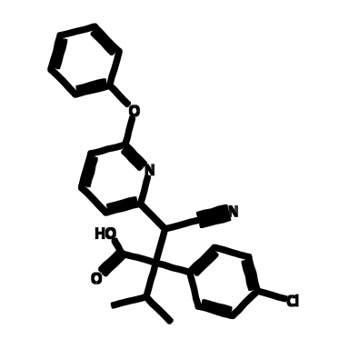 CC(C)C(C(=O)O)(c1ccc(Cl)cc1)C(C#N)c1cccc(Oc2ccccc2)n1